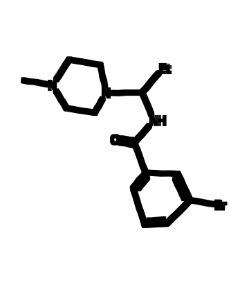 CCC(NC(=O)c1cccc(Br)c1)N1CCN(C)CC1